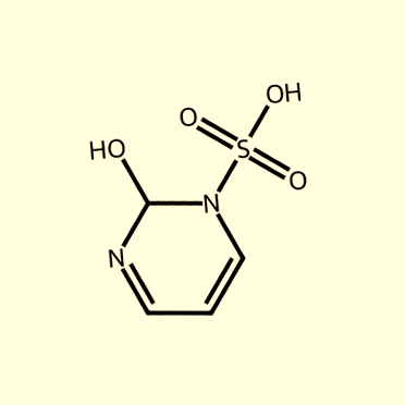 O=S(=O)(O)N1C=CC=NC1O